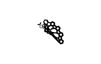 CC(C)O[Si](C)(C)CC12C3=CCC4c5ccc6c7ccc8c9ccc%10c%11ccc3c3c1c1c%12c(c5c6c5c7c8c6c9c%10c(c3%11)c1c6c%125)C42